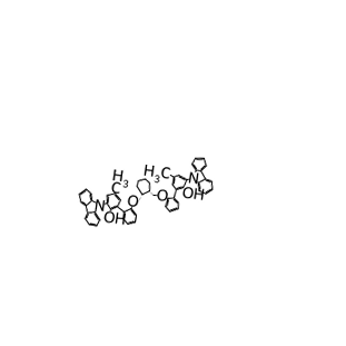 Cc1cc(-c2ccccc2OC[C@H]2CCCC[C@H]2COc2ccccc2-c2cc(C)cc(-n3c4ccccc4c4ccccc43)c2O)c(O)c(-n2c3ccccc3c3ccccc32)c1